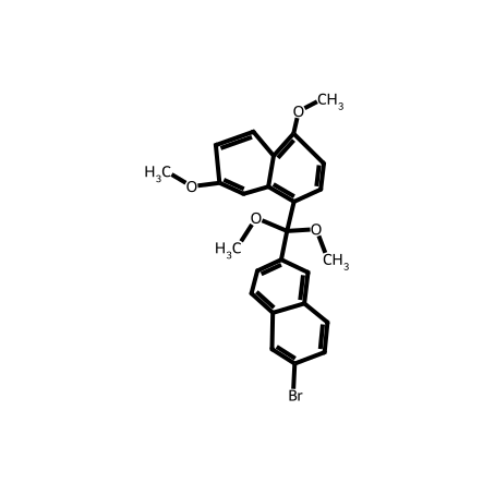 COc1ccc2c(OC)ccc(C(OC)(OC)c3ccc4cc(Br)ccc4c3)c2c1